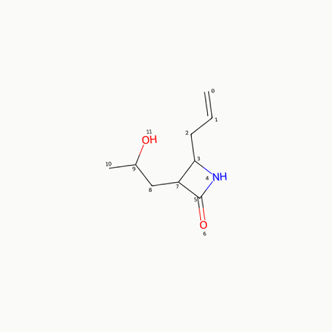 C=CCC1NC(=O)C1CC(C)O